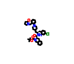 CC(C)(C)OC(=O)N1Cc2ccccc2C[C@@H]1C(=O)N[C@H](C=C1CCN(c2ccccc2CN2CCCC2=O)CC1)Cc1ccc(Cl)cc1